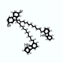 Brc1ccc2c(c1)C(CCCCCCCCCCCCc1cccc3c1[nH]c1ccccc13)(CCCCCCCCCCCCc1cccc3c1[nH]c1ccccc13)c1cc(Br)ccc1-2